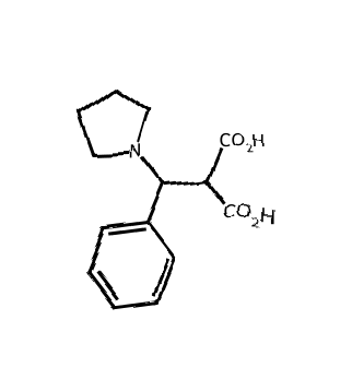 O=C(O)C(C(=O)O)C(c1ccccc1)N1CCCC1